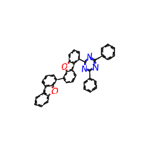 c1ccc(-c2nc(-c3ccccc3)nc(-c3cccc4oc5c(-c6cccc7c6oc6ccccc67)cccc5c34)n2)cc1